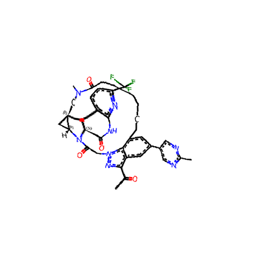 CC(=O)c1nn2c3c(cc(-c4cnc(C)nc4)cc13)CCCCCCC(=O)N(C)C[C@@]13C[C@@H](C(=O)Nc4nc(C(F)(F)F)ccc4C)N(C(=O)C2)[C@@H]1C3